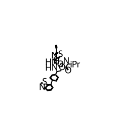 C#Cc1nc(NC(=O)NC(COC(=O)C(N)C(C)C)c2ccc(-c3cccc4ncsc34)cc2)cs1